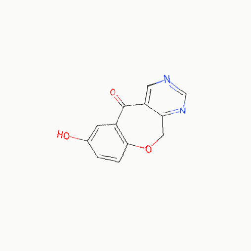 O=C1c2cc(O)ccc2OCc2ncncc21